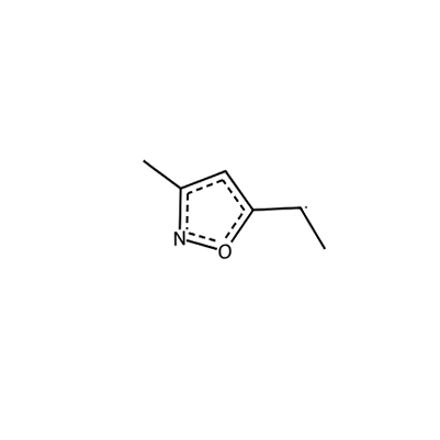 C[CH]c1cc(C)no1